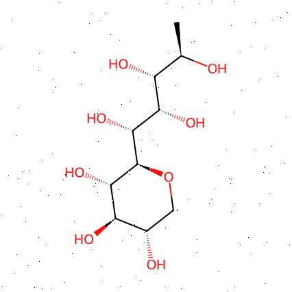 C[C@@H](O)[C@@H](O)[C@H](O)[C@@H](O)[C@H]1O[CH][C@H](O)[C@@H](O)[C@@H]1O